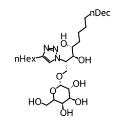 CCCCCCCCCCCCCC[C@@H](O)[C@@H](O)[C@H](CO[C@H]1OC(CO)[C@H](O)[C@H](O)[C@H]1O)n1cc(CCCCCC)nn1